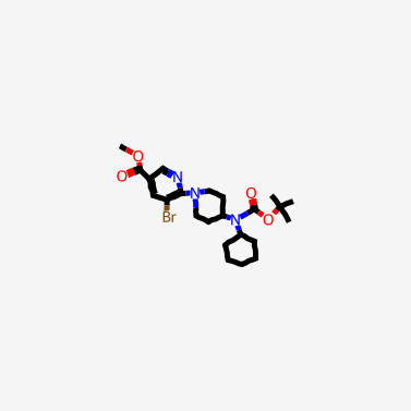 COC(=O)c1cnc(N2CCC(N(C(=O)OC(C)(C)C)C3CCCCC3)CC2)c(Br)c1